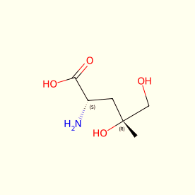 C[C@](O)(CO)C[C@H](N)C(=O)O